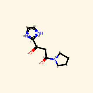 O=C(CC(=O)N1CCCC1)c1ncc[nH]1